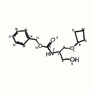 O=C(NC(CO)COC1CCC1)OCc1ccccc1